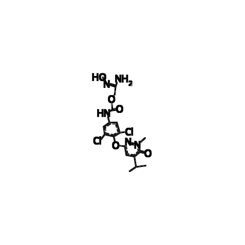 CC(C)c1cc(Oc2c(Cl)cc(NC(=O)OCC(N)=NO)cc2Cl)nn(C)c1=O